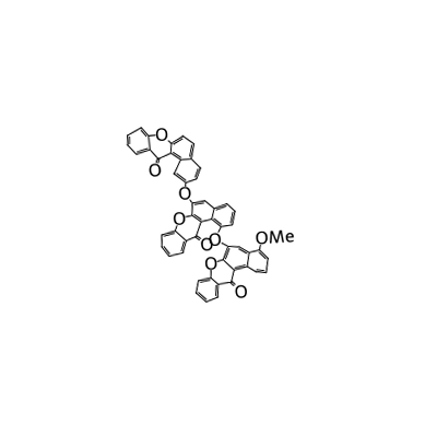 COc1cccc2c1cc(Oc1cccc3cc(Oc4ccc5ccc6oc7ccccc7c(=O)c6c5c4)c4oc5ccccc5c(=O)c4c13)c1oc3ccccc3c(=O)c12